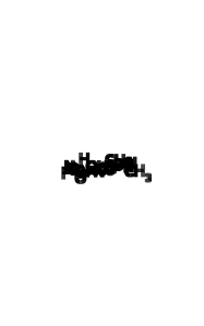 Cc1c(OCc2ccnn2C)ccc2c1CCN(CC(O)CNC(=O)c1ccnc(F)c1)C2